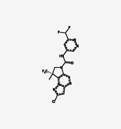 C[C@@]1(C(F)(F)F)CN(C(=O)Nc2cnnc(C(F)F)c2)c2cnc3cc(Cl)nn3c21